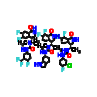 CC(NC(=O)Nc1ccc(F)c(Cl)c1)c1c[nH]c(=O)c2c(F)c(F)ccc12.CC(c1c[nH]c(=O)c2c(F)c(F)ccc12)N(C)C(=O)Nc1ccc2cc[nH]c2c1.CC(c1c[nH]c(=O)c2cc(F)c(F)cc12)N(C)C(=O)Nc1ccc(F)c(C(F)F)c1